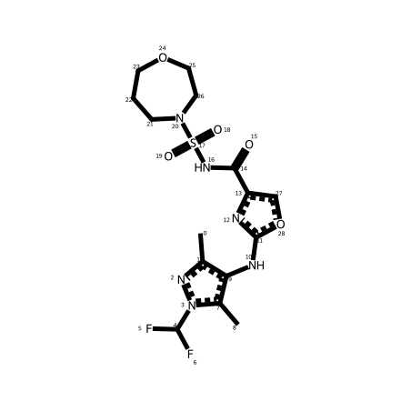 Cc1nn(C(F)F)c(C)c1Nc1nc(C(=O)NS(=O)(=O)N2CCCOCC2)co1